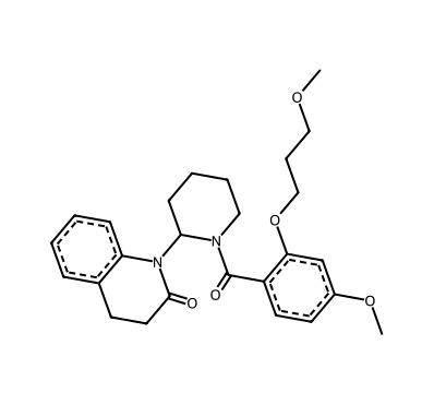 COCCCOc1cc(OC)ccc1C(=O)N1CCCCC1N1C(=O)CCc2ccccc21